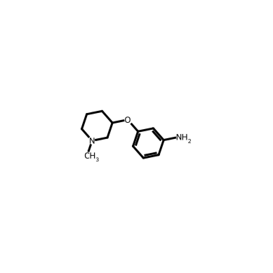 CN1CCCC(Oc2cccc(N)c2)C1